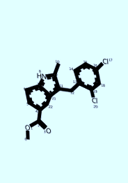 COC(=O)c1ccc2[nH]c(C)c(Cc3ccc(Cl)cc3Cl)c2c1